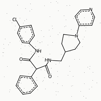 O=C(NCC1CCN(c2ccncc2)CC1)C(C(=O)Nc1ccc(Cl)cc1)c1ccccc1